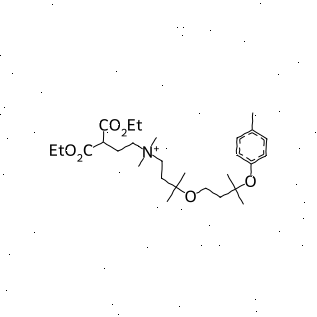 CCOC(=O)C(CC[N+](C)(C)CCC(C)(C)OCCC(C)(C)Oc1ccc(C)cc1)C(=O)OCC